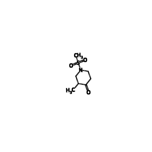 CC1CN(S(C)(=O)=O)CCC1=O